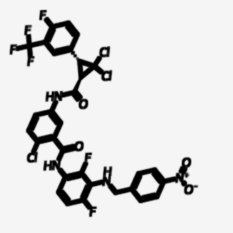 O=C(Nc1ccc(F)c(NCc2ccc([N+](=O)[O-])cc2)c1F)c1cc(NC(=O)[C@H]2[C@H](c3ccc(F)c(C(F)(F)F)c3)C2(Cl)Cl)ccc1Cl